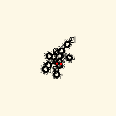 Clc1ccc(-c2cc(N(c3ccccc3)c3ccccc3)c3c(c2)oc2c4ccccc4c(C(c4ccc5ccccc5c4)c4cccc5c4sc4ccccc45)cc23)cc1